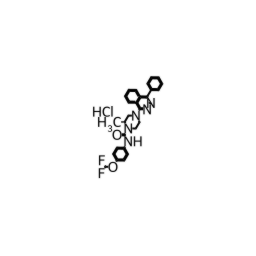 C[C@H]1CN(c2nnc(-c3ccccc3)c3ccccc23)CCN1C(=O)Nc1ccc(OC(F)F)cc1.Cl